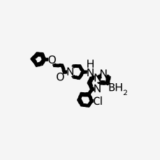 Bc1cnn2c(NC3CCN(C(=O)CCOc4ccccc4)CC3)cc(C3=CC=CCC3Cl)nc12